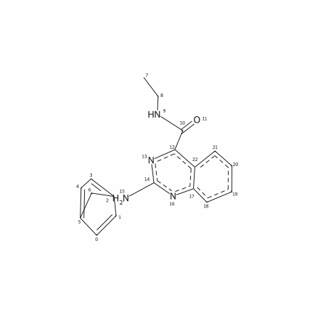 C1=CC2=CC=C1C2.CCNC(=O)c1nc(N)nc2ccccc12